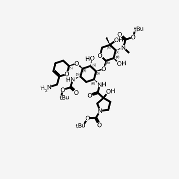 CN(C(=O)OC(C)(C)C)[C@@H]1[C@@H](O)[C@@H](O[C@@H]2[C@@H](O)[C@H](O[C@@H]3CCC=C(CN)O3)[C@@H](NC(=O)OC(C)(C)C)C[C@H]2NC(=O)C2(O)CCN(C(=O)OC(C)(C)C)C2)OC[C@]1(C)O